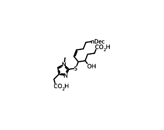 CCCCCCCCCCCC/C=C\C(Sc1nc(CC(=O)O)cn1C)C(O)CCC(=O)O